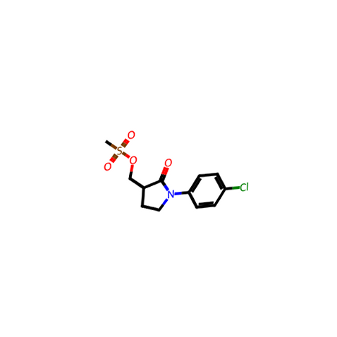 CS(=O)(=O)OCC1CCN(c2ccc(Cl)cc2)C1=O